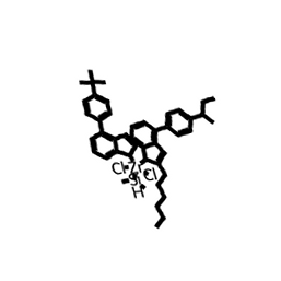 CCCCCCC1=Cc2c(-c3ccc(C(C)CC)cc3)cccc2[CH]1[Zr]([Cl])([Cl])([CH]1C=Cc2c(-c3ccc(C(C)(C)C)cc3)cccc21)[SiH](C)C